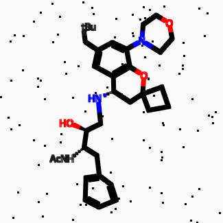 CC(=O)N[C@@H](Cc1ccccc1)[C@@H](O)CN[C@H]1CC2(CCC2)Oc2c1cc(CC(C)(C)C)cc2N1CCOCC1